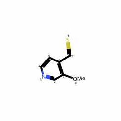 COc1cnccc1[C]=S